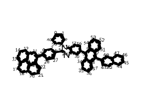 c1ccc(-n2c(-c3ccc(-c4cc5cccc6ccc7cccc4c7c65)cc3)nc3cc(-c4c5ccccc5c(-c5ccc6ccccc6c5)c5ccccc45)ccc32)cc1